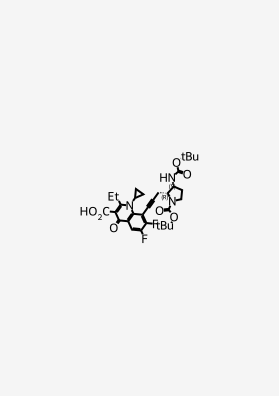 CCc1c(C(=O)O)c(=O)c2cc(F)c(F)c(C#CC[C@@H]3[C@@H](NC(=O)OC(C)(C)C)CCN3C(=O)OC(C)(C)C)c2n1C1CC1